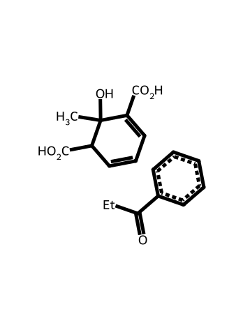 CC1(O)C(C(=O)O)=CC=CC1C(=O)O.CCC(=O)c1ccccc1